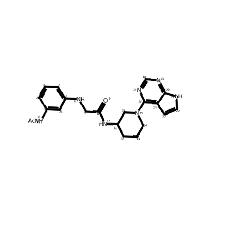 CC(=O)Nc1cccc(NCC(=O)NC2CCCN(c3ncnc4[nH]ccc34)C2)c1